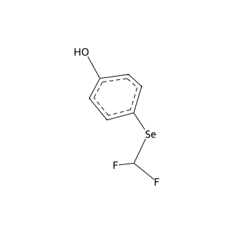 Oc1ccc([Se]C(F)F)cc1